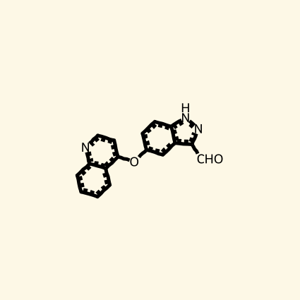 O=Cc1n[nH]c2ccc(Oc3ccnc4ccccc34)cc12